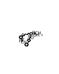 CC(O)O[C@@H]1CC(/C=C/CCOc2cccc(C(C)(F)F)c2)[C@H](OC(=O)c2ccc(-c3ccccc3)cc2)C1